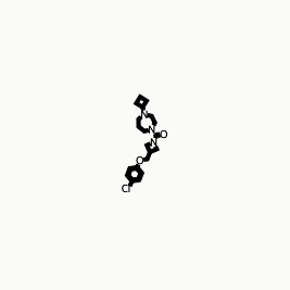 O=C(N1CCCN(C2CCC2)CC1)N1CC(COc2ccc(Cl)cc2)C1